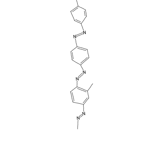 CCCCc1ccc(N=Nc2ccc(N=Nc3ccc(N=NC)cc3C)cc2)cc1